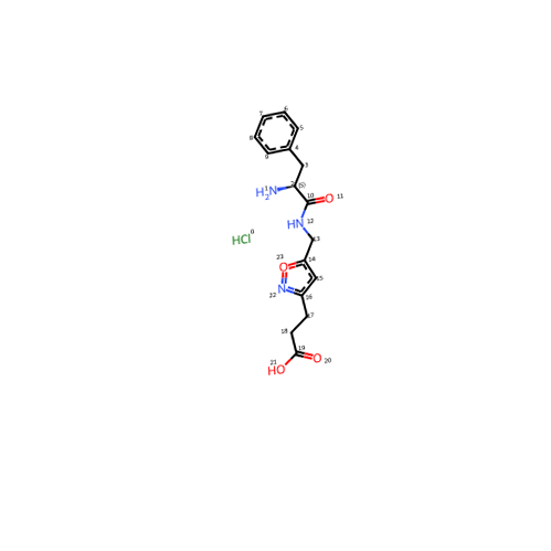 Cl.N[C@@H](Cc1ccccc1)C(=O)NCc1cc(CCC(=O)O)no1